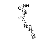 CNC(C)C(=O)c1ccn2cc(CNC(C)Cc3ccn4cc(C(C)NC(C)Cc5ccn6cccc6c5)cc4c3)cc2c1